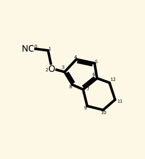 N#CCOc1ccc2c(c1)CCCC2